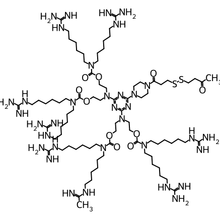 CC(=N)NCCCCCCN(CCCCCCNC(=N)N)C(=O)OCCN(CCOC(=O)N(CCCCCCNC(=N)N)CCCCCCNC(=N)N)c1nc(N(CCOC(=O)N(CCCCCCNC(=N)N)CCCCCCNC(=N)N)CCOC(=O)N(CCCCCCNC(=N)N)CCCCCCNC(=N)N)nc(N2CCN(C(=O)CCSSCCC(C)=O)CC2)n1